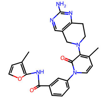 Cc1ccoc1NC(=O)c1cccc(-n2ccc(C)c(N3CCc4nc(N)ncc4C3)c2=O)c1